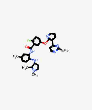 CNc1nccc(-c2cccnc2Oc2ccc(F)c(C(=O)Nc3cc(C(F)(F)F)ccc3NC3CCN(C)C3C)c2)n1